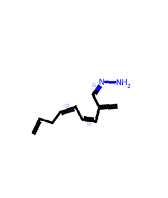 C=CC/C=C\C=C/C(=C)/C=N\N